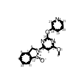 COc1cc(N2Cc3ccccc3[S+]2[O-])nc(Oc2cccnc2)n1